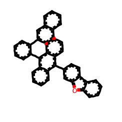 c1ccc(-c2c3ccccc3c(-c3ccc4c(c3)oc3ccccc34)c3ccccc23)c(-c2ccc3ccccc3c2)c1